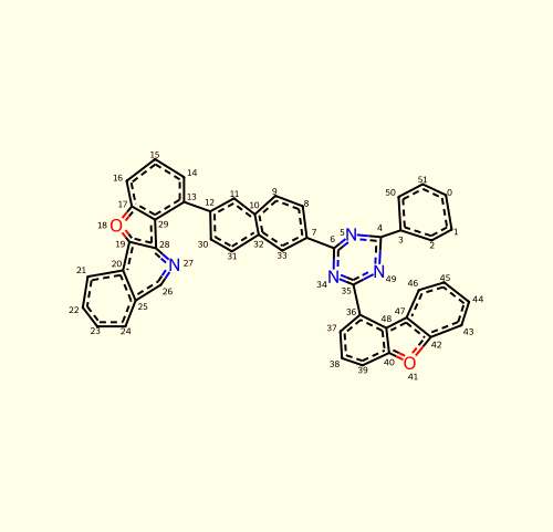 c1ccc(-c2nc(-c3ccc4cc(-c5cccc6oc7c8ccccc8cnc7c56)ccc4c3)nc(-c3cccc4oc5ccccc5c34)n2)cc1